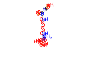 CC[N+]1=C(/C=C/C=C2/N(CCCCCC(=O)NCCOCCOCCOCCOCCC(=O)NCCCc3cn([C@@H]4O[C@H](COP(=O)(O)O)[C@H](OP(=O)(O)O)C4O)c(=O)nc3N)c3ccc(S(=O)(=O)[O-])cc3C2(C)C)C(C)(C)c2cc(S(=O)(=O)O)ccc21